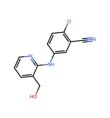 N#Cc1cc(Nc2ncccc2CO)ccc1Cl